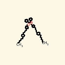 CCCCCCCC1CCC(CCCCc2ccc(CO[C@H](c3ccccc3)[C@H](OCc3ccc(CCCCC4CCC(CCCCCCC)CC4)cc3)c3ccccc3)cc2)CC1